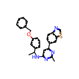 Cc1nc(NC(C)c2cccc(OCc3ccccc3)c2)cc(-c2ccc3ncsc3c2)n1